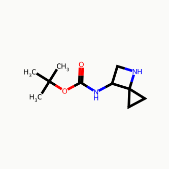 CC(C)(C)OC(=O)NC1CNC12CC2